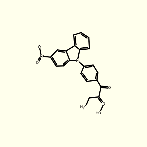 CC/C(=N\O)C(=O)c1ccc(-n2c3ccccc3c3cc([N+](=O)[O-])ccc32)cc1